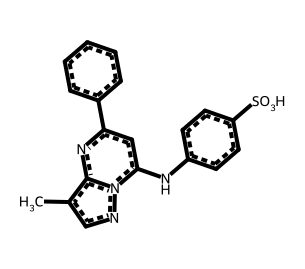 Cc1cnn2c(Nc3ccc(S(=O)(=O)O)cc3)cc(-c3ccccc3)nc12